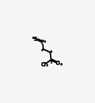 O=C(Cl)CCP=S